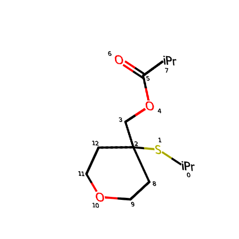 CC(C)SC1(COC(=O)C(C)C)CCOCC1